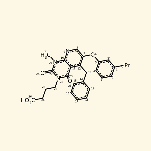 CC(C)c1cccc(Oc2cnc3c(c2Cc2ccccc2)c(=O)n(CCCC(=O)O)c(=O)n3C)c1